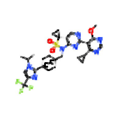 COc1ncnc(C2CC2)c1-c1ncc2c(n1)N(CC13CCC(c4nc(C(F)(F)F)cn4C(C)C)(CC1)CC3)S(=O)(=O)C21CC1